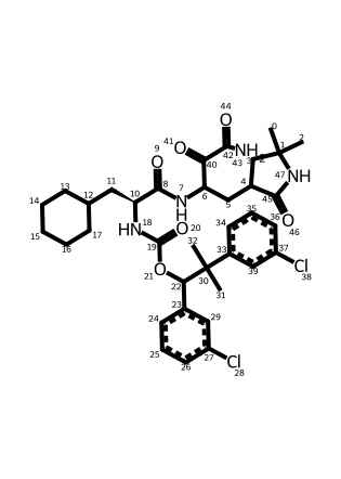 CC1(C)CC(CC(NC(=O)[C@H](CC2CCCCC2)NC(=O)OC(c2cccc(Cl)c2)C(C)(C)c2cccc(Cl)c2)C(=O)C(N)=O)C(=O)N1